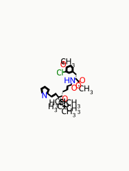 COC(=O)[C@@H](Cc1ccc(OC)c(Cl)c1)NC(=O)/C=C/C[C@H](O[Si](C)(C)C(C)(C)C)[C@H](C)/C=C/c1ccccn1